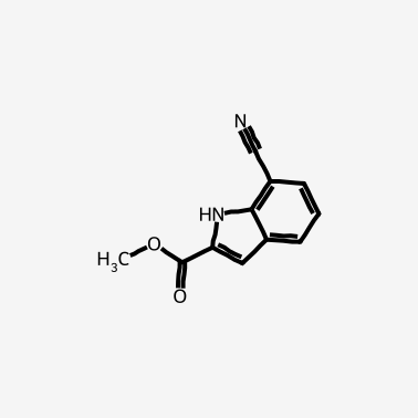 COC(=O)c1cc2cccc(C#N)c2[nH]1